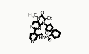 CC[C@@H]1C(=O)N(C)c2cnc(-c3ccncc3CNS(=O)(=O)c3ccccc3)nc2N1C1CCCC1